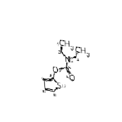 CCN(CC)C(=O)Oc1cccs1